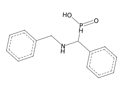 O=[PH](O)C(NCc1ccccc1)c1ccccc1